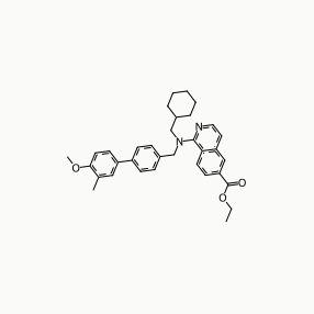 CCOC(=O)c1ccc2c(N(Cc3ccc(-c4ccc(OC)c(C)c4)cc3)CC3CCCCC3)nccc2c1